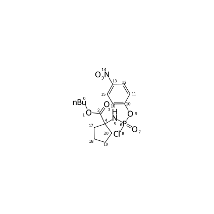 CCCCOC(=O)C1(NP(=O)(Cl)Oc2ccc([N+](=O)[O-])cc2)CCCC1